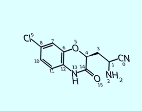 N#CC(N)C[C@@H]1Oc2cc(Cl)ccc2NC1=O